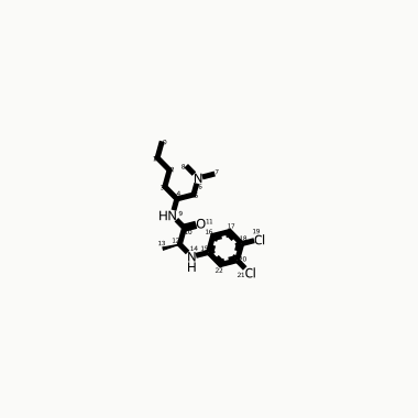 CCCCC(CN(C)C)NC(=O)[C@H](C)Nc1ccc(Cl)c(Cl)c1